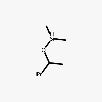 CC(C)C(C)O[SiH](C)C